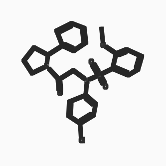 COc1ccccc1S(=O)(=O)N(CC(=O)N1CCCC1c1ccccc1)c1ccc(Cl)cc1